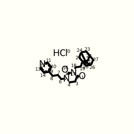 Cl.O=C1CCN(CCCc2ccncc2)C(=O)N1CCC12CC3CC(CC(C3)C1)C2